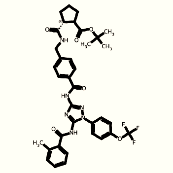 Cc1ccccc1C(=O)Nc1nc(NC(=O)c2ccc(CNC(=O)[C@@H]3CCCC3C(=O)OC(C)(C)C)cc2)nn1-c1ccc(OC(F)(F)F)cc1